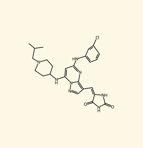 CC(C)CN1CCC(Nc2cc(Nc3cccc(Cl)c3)nc3c(C=C4NC(=O)NC4=O)cnn23)CC1